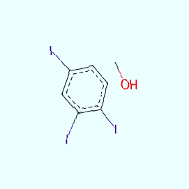 CO.Ic1ccc(I)c(I)c1